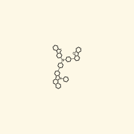 c1ccc(-n2c3cc(-c4ccc(N(c5ccc(-c6cccc7c6oc6ccccc67)cc5)c5ccc6c(c5)sc5ccccc56)cc4)ccc3c3ccc4ccccc4c32)cc1